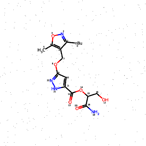 CCCCc1noc(C)c1COc1cc(C(=O)OC(CO)C(N)=O)[nH]n1